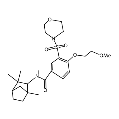 COCCOc1ccc(C(=O)NC2C3(C)CCC(C3)C2(C)C)cc1S(=O)(=O)N1CCOCC1